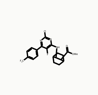 COC(=O)C1C2CCC(CC2)C1Nc1nc(Cl)nc(-c2ccc(C(F)(F)F)cc2)c1F